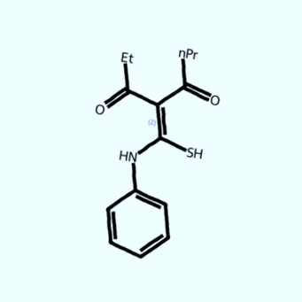 CCCC(=O)/C(C(=O)CC)=C(\S)Nc1ccccc1